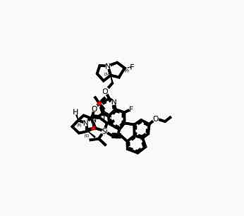 CCOc1cc(-c2c(F)cc3c(N4C[C@H]5CC[C@@](C)(C4)N5C(=O)OC(C)(C)C)nc(OC[C@@]45CCCN4C[C@H](F)C5)nc3c2F)c2c(C#C[Si](C(C)C)(C(C)C)C(C)C)cccc2c1